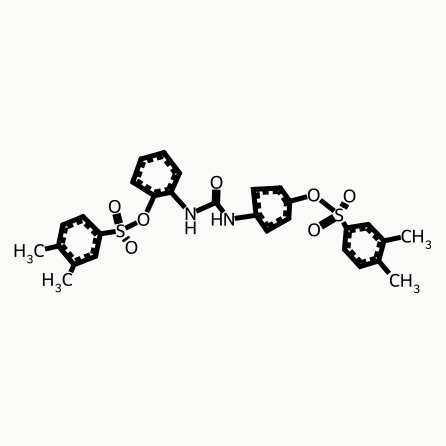 Cc1ccc(S(=O)(=O)Oc2ccc(NC(=O)Nc3ccccc3OS(=O)(=O)c3ccc(C)c(C)c3)cc2)cc1C